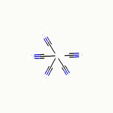 N#[C][Fe-2]([C]#N)([C]#N)([C]#N)[C]#N